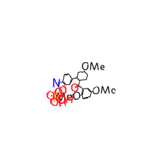 COc1ccc(OC)c(C(=O)C2CCC(OC)CC2c2ccc(N(C)C)c(OOP(=O)(O)O)c2)c1